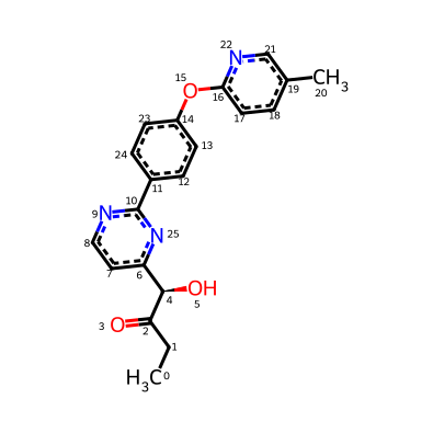 CCC(=O)[C@H](O)c1ccnc(-c2ccc(Oc3ccc(C)cn3)cc2)n1